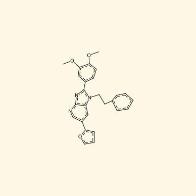 COc1ccc(-c2nc3ncc(-c4ccco4)cc3n2CCc2ccccc2)cc1OC